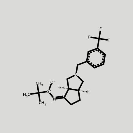 CC(C)(C)[S+]([O-])/N=C1/CC[C@@H]2CN(Cc3cccc(C(F)(F)F)c3)C[C@H]12